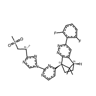 C[C@@H](CS(C)(=O)=O)c1ncn(-c2nccc([C@@]34CC[C@@H](c5cc(-c6c(F)cccc6F)nnc53)C4(C)C)n2)n1